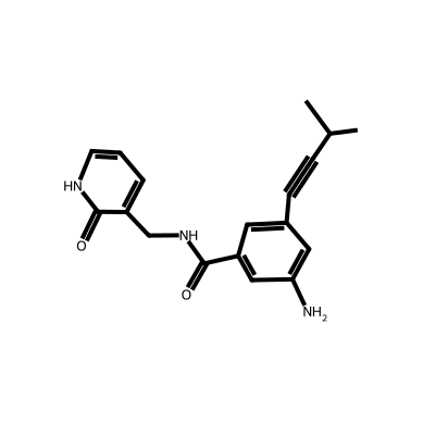 CC(C)C#Cc1cc(N)cc(C(=O)NCc2ccc[nH]c2=O)c1